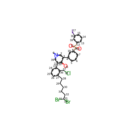 Cn1cc(-c2cccc(S(=O)(=O)c3cccc(I)c3)c2)c(=O)c(-c2cccc(CCCCCC(Br)Br)c2CCl)c1